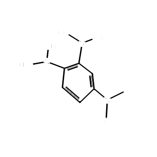 CN(C)c1[c]cc(N(C)C)c(N(C)C)c1